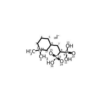 C[N+]1(C)CCCC(CC(P(=O)(O)O)S(=O)(=O)O)C1.[I-]